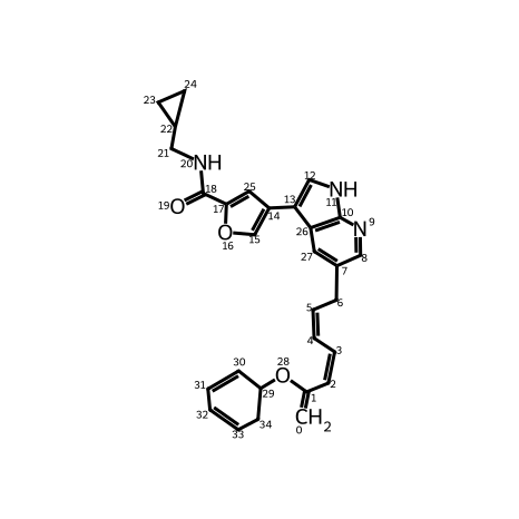 C=C(/C=C\C=C/Cc1cnc2[nH]cc(-c3coc(C(=O)NCC4CC4)c3)c2c1)OC1C=CC=CC1